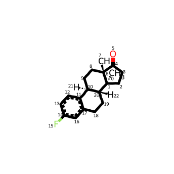 C[C@@]12CCC(=O)[C@@]1(C)CC[C@@H]1c3ccc(F)cc3CC[C@H]12